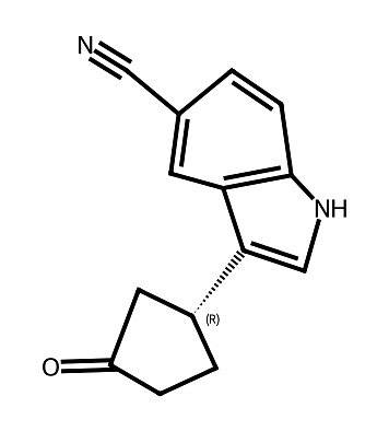 N#Cc1ccc2[nH]cc([C@@H]3CCC(=O)C3)c2c1